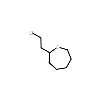 ClCCC1CCCCCO1